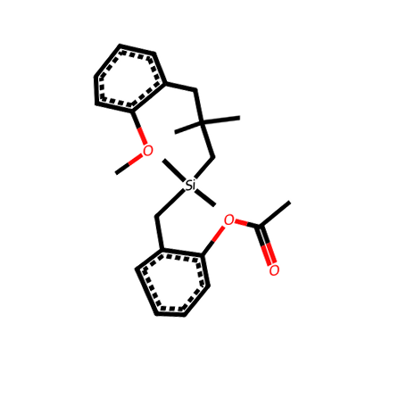 COc1ccccc1CC(C)(C)C[Si](C)(C)Cc1ccccc1OC(C)=O